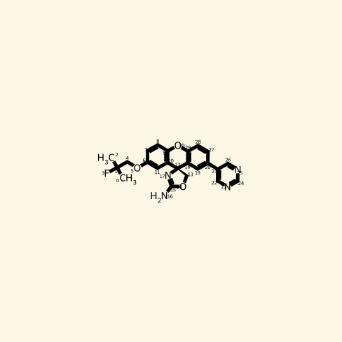 CC(C)(F)COc1ccc2c(c1)[C@]1(COC(N)=N1)c1cc(-c3cncnc3)ccc1O2